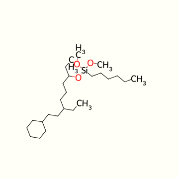 CCCCCC[Si](OC)(OC)OC(CC)CCCC(CC)CCC1CCCCC1